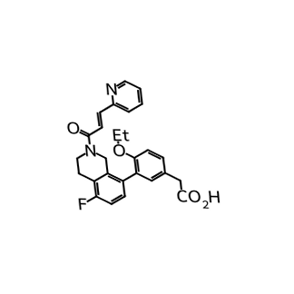 CCOc1ccc(CC(=O)O)cc1-c1ccc(F)c2c1CN(C(=O)C=Cc1ccccn1)CC2